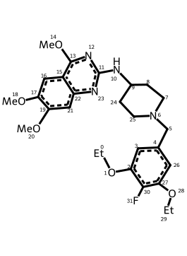 CCOc1cc(CN2CCC(Nc3nc(OC)c4cc(OC)c(OC)cc4n3)CC2)cc(OCC)c1F